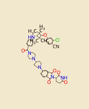 CC1(C)[C@H](Nc2ccc(C(=O)N3CCN(C4CCN(c5ccc6c(c5)C(=O)N(C5CCC(=O)NC5=O)C6=O)CC4)CC3)cc2)C(C)(C)[C@H]1Oc1ccc(C#N)c(Cl)c1